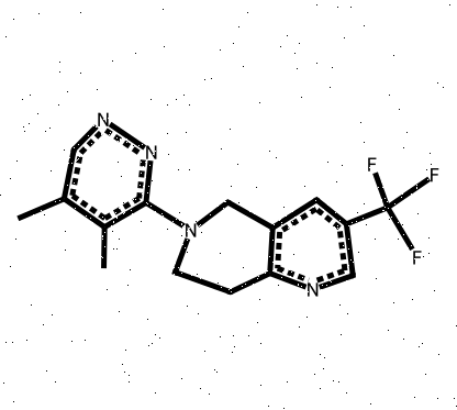 Cc1cnnc(N2CCc3ncc(C(F)(F)F)cc3C2)c1C